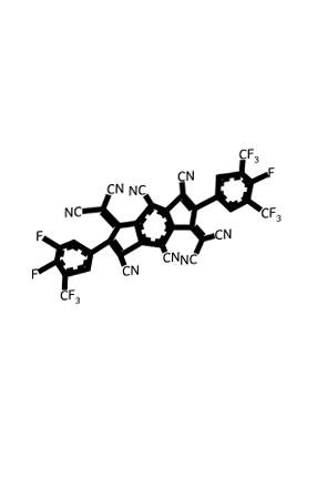 N#CC(C#N)=C1C(c2cc(F)c(F)c(C(F)(F)F)c2)=C(C#N)c2c(C#N)c3c(c(C#N)c21)C(C#N)=C(c1cc(C(F)(F)F)c(F)c(C(F)(F)F)c1)C3=C(C#N)C#N